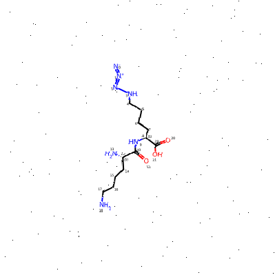 [N-]=[N+]=NNCCCC[C@H](NC(=O)[C@@H](N)CCCCN)C(=O)O